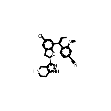 C=Nc1cc(C#N)ccc1/C(=C\C)c1cc(Cl)cc2c1O[C@@H](c1n[nH]c3c1CNCC3)C2